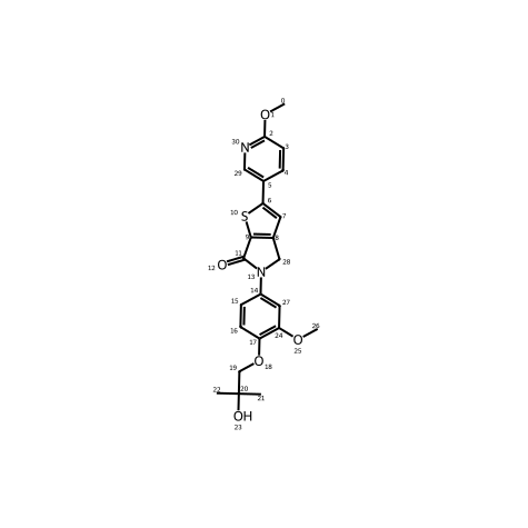 COc1ccc(-c2cc3c(s2)C(=O)N(c2ccc(OCC(C)(C)O)c(OC)c2)C3)cn1